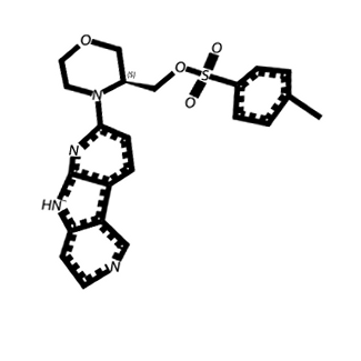 Cc1ccc(S(=O)(=O)OC[C@@H]2COCCN2c2ccc3c(n2)[nH]c2ccncc23)cc1